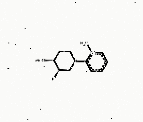 CO[C@H]1CCN(c2cccc[n+]2C)C[C@H]1F